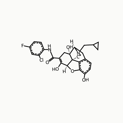 O=C(Nc1ccc(F)cc1Cl)C1=C(O)[C@@H]2Oc3c(O)ccc4c3[C@@]23CCN(CC2CC2)[C@H](C4)[C@]3(O)C1